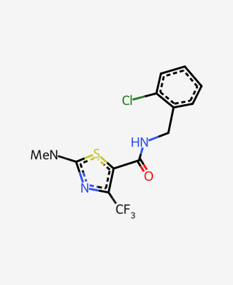 CNc1nc(C(F)(F)F)c(C(=O)NCc2ccccc2Cl)s1